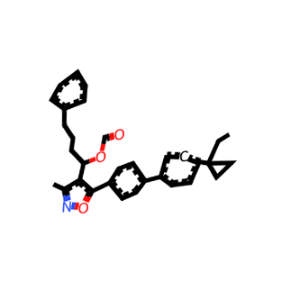 CCC1(c2ccc(-c3ccc(-c4onc(C)c4C(CCCc4ccccc4)OC=O)cc3)cc2)CC1